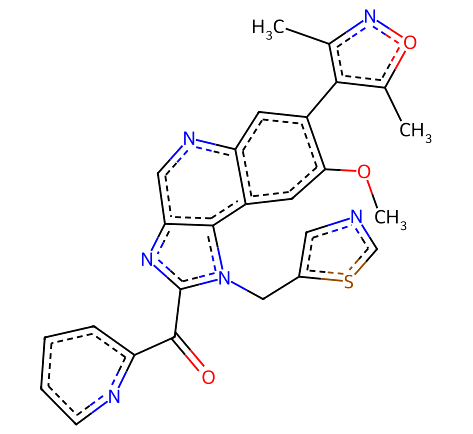 COc1cc2c(cc1-c1c(C)noc1C)ncc1nc(C(=O)c3ccccn3)n(Cc3cncs3)c12